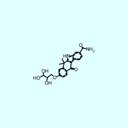 CC1(C)c2cc(OCC(O)C(O)O)ccc2C(=O)c2c1[nH]c1cc(C(N)=O)ccc21